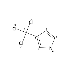 ClC(Cl)(Cl)C1=C[N]C=C1